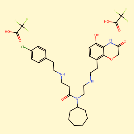 O=C(O)C(F)(F)F.O=C(O)C(F)(F)F.O=C1COc2c(CCNCCN(C(=O)CCNCCc3ccc(Cl)cc3)C3CCCCCC3)ccc(O)c2N1